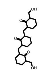 O=C1C(CO)CCCC1CC1CCCC(CC2CCCC(CO)C2=O)C1=O